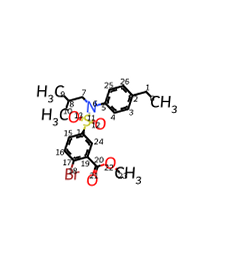 CCc1ccc(N(CC(C)C)S(=O)(=O)c2ccc(Br)c(C(=O)OC)c2)cc1